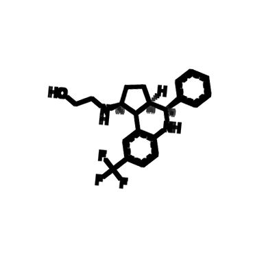 OCCN[C@H]1CC[C@@H]2C1c1cc(C(F)(F)F)ccc1N[C@@H]2c1ccccc1